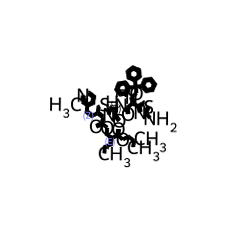 CC/C=C(\COC(=O)C1=C(/C=C\c2cccnc2C)CS[C@H]2[C@H](NC(=O)C(=NOC(c3ccccc3)(c3ccccc3)c3ccccc3)c3csc(N)n3)C(=O)N12)C(=O)OCC(C)C